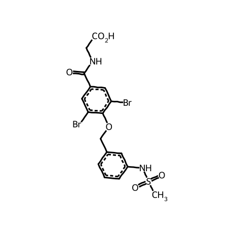 CS(=O)(=O)Nc1cccc(COc2c(Br)cc(C(=O)NCC(=O)O)cc2Br)c1